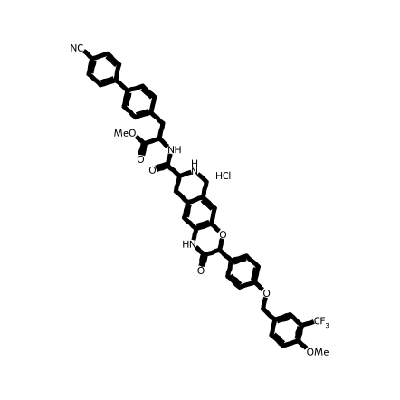 COC(=O)C(Cc1ccc(-c2ccc(C#N)cc2)cc1)NC(=O)C1Cc2cc3c(cc2CN1)OC(c1ccc(OCc2ccc(OC)c(C(F)(F)F)c2)cc1)C(=O)N3.Cl